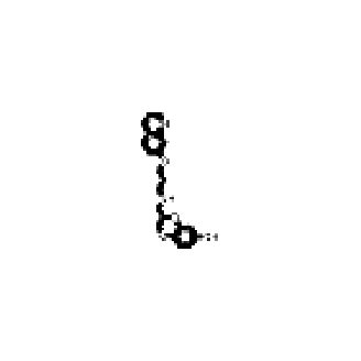 Oc1ccc2c(c1)OC(CNCCCOc1ccc3cccnc3c1)CO2